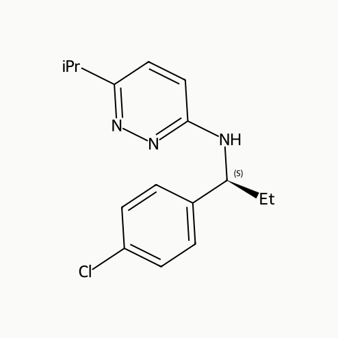 CC[C@H](Nc1ccc(C(C)C)nn1)c1ccc(Cl)cc1